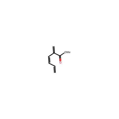 C=C/C=C\C(=C)C(=O)OC